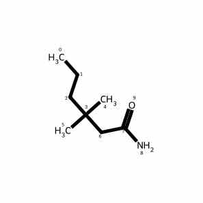 CC[CH]C(C)(C)CC(N)=O